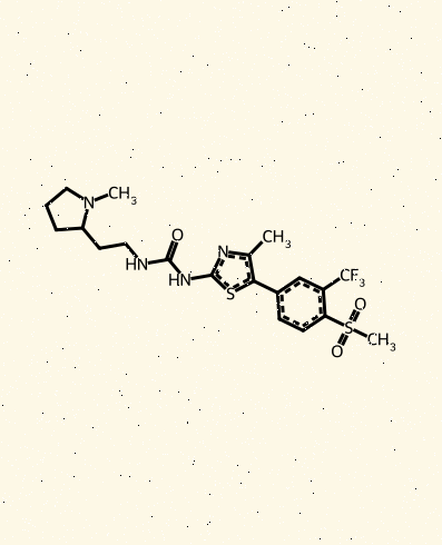 Cc1nc(NC(=O)NCCC2CCCN2C)sc1-c1ccc(S(C)(=O)=O)c(C(F)(F)F)c1